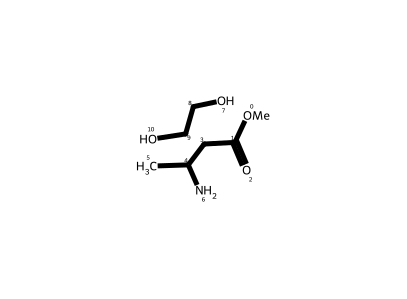 COC(=O)CC(C)N.OCCO